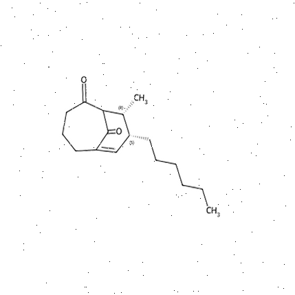 CCCCCC[C@@H]1C=C2CCCC(=O)C(C2=O)[C@@H]1C